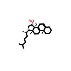 CC(C)CCC[C@@H](C)[C@H]1C[C@@H](O)[C@H]2C3=C(CC[C@]12C)[C@@]1(C)CCCCC1=CC3